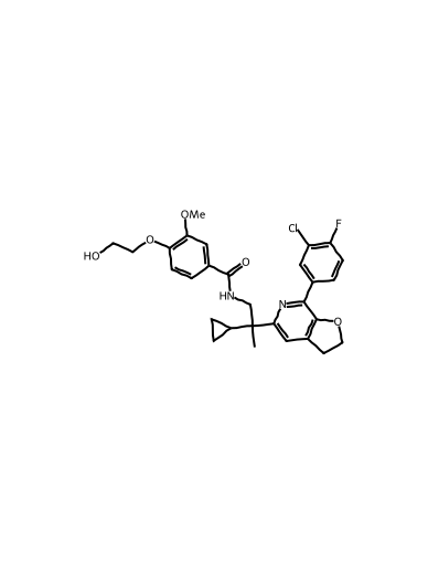 COc1cc(C(=O)NCC(C)(c2cc3c(c(-c4ccc(F)c(Cl)c4)n2)OCC3)C2CC2)ccc1OCCO